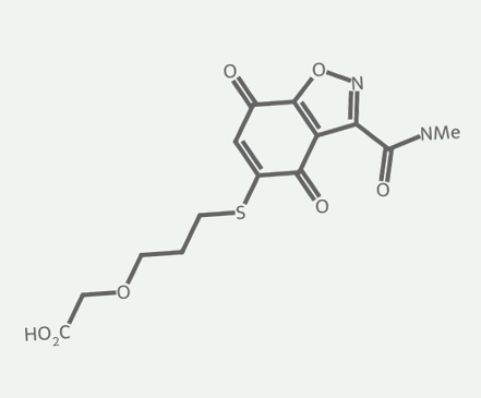 CNC(=O)c1noc2c1C(=O)C(SCCCOCC(=O)O)=CC2=O